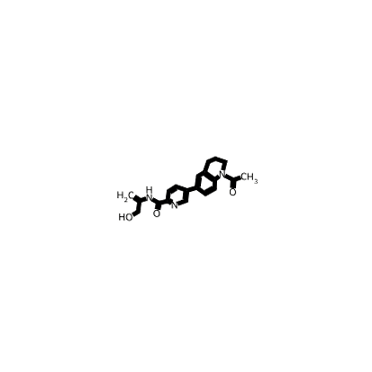 C=C(CO)NC(=O)c1ccc(-c2ccc3c(c2)CCCN3C(C)=O)cn1